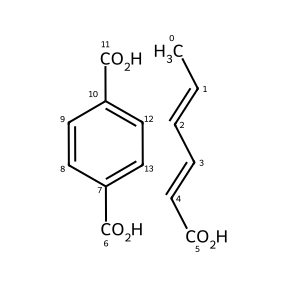 CC=CC=CC(=O)O.O=C(O)c1ccc(C(=O)O)cc1